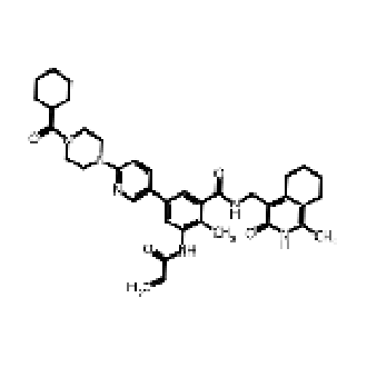 C=CC(=O)Nc1cc(-c2ccc(N3CCN(C(=O)C4CCCCC4)CC3)nc2)cc(C(=O)NCc2c3c(c(C)[nH]c2=O)CCCC3)c1C